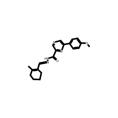 COc1ccc(-c2cncc(C(=O)N/N=C/C3=C(C)CCCC3)n2)cc1